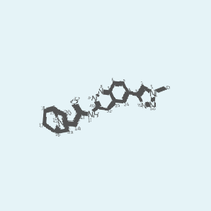 Cn1cc(-c2ccc3nnc(NC(=O)CN4C5CCC4CC5)cc3c2)nn1